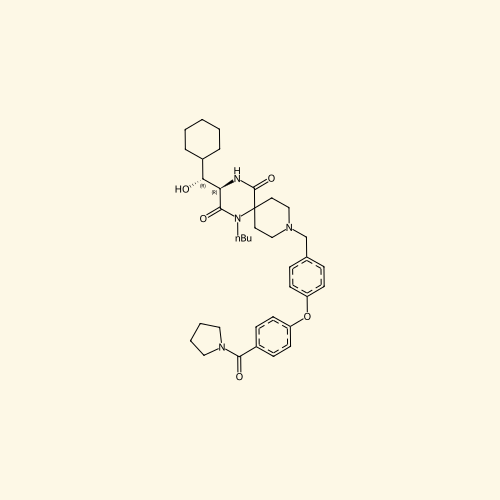 CCCCN1C(=O)[C@@H]([C@H](O)C2CCCCC2)NC(=O)C12CCN(Cc1ccc(Oc3ccc(C(=O)N4CCCC4)cc3)cc1)CC2